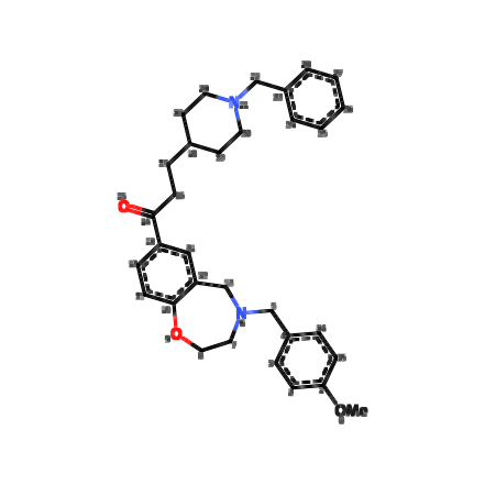 COc1ccc(CN2CCOc3ccc(C(=O)CCC4CCN(Cc5ccccc5)CC4)cc3C2)cc1